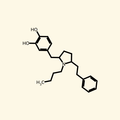 CCCCN1C(CCc2ccccc2)CCC1Cc1ccc(O)c(O)c1